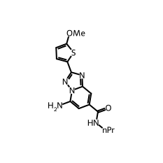 CCCNC(=O)c1cc(N)n2nc(-c3ccc(OC)s3)nc2c1